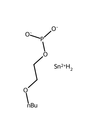 CCCCOCCOP([O-])[O-].[SnH2+2]